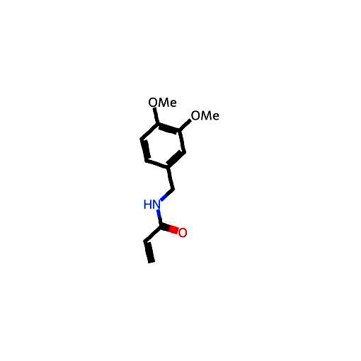 C=CC(=O)NCc1ccc(OC)c(OC)c1